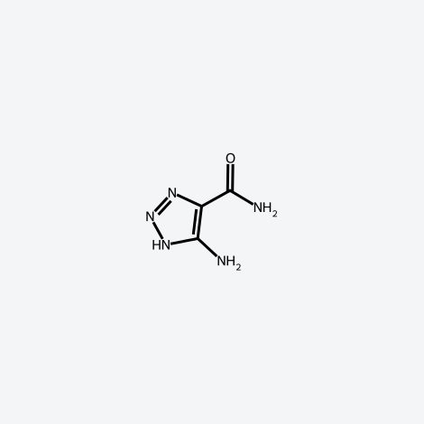 NC(=O)c1nn[nH]c1N